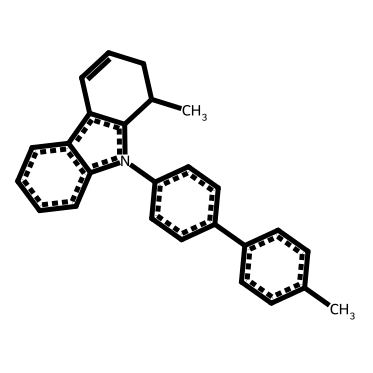 Cc1ccc(-c2ccc(-n3c4c(c5ccccc53)C=CCC4C)cc2)cc1